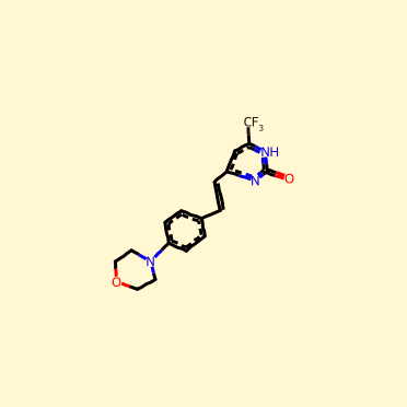 O=c1nc(/C=C/c2ccc(N3CCOCC3)cc2)cc(C(F)(F)F)[nH]1